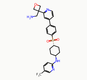 NCC1(c2cc(-c3ccc(S(=O)(=O)[C@H]4CC[C@H](Nc5ccc(C(F)(F)F)cn5)CC4)cc3)ccn2)COC1